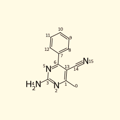 Cc1nc(N)nc(-c2ccccc2)c1C#N